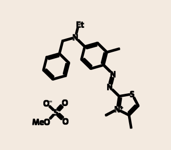 CCN(Cc1ccccc1)c1ccc(N=Nc2scc(C)[n+]2C)c(C)c1.COS(=O)(=O)[O-]